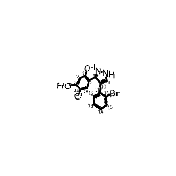 Oc1cc(O)c(-c2n[nH]cc2-c2ccccc2Br)cc1Cl